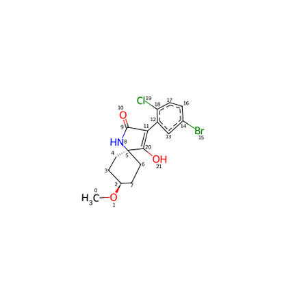 CO[C@H]1CC[C@]2(CC1)NC(=O)C(c1cc(Br)ccc1Cl)=C2O